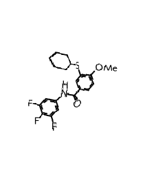 COc1ccc(C(=O)Nc2cc(F)c(F)c(F)c2)cc1SC1CCCCC1